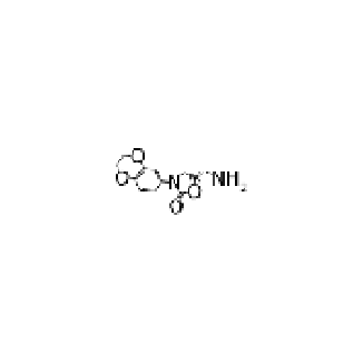 NC[C@H]1CN(c2ccc3c(c2)OCCO3)C(=O)O1